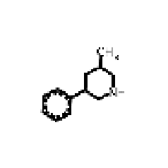 CC1CNCC(c2ccccc2)C1